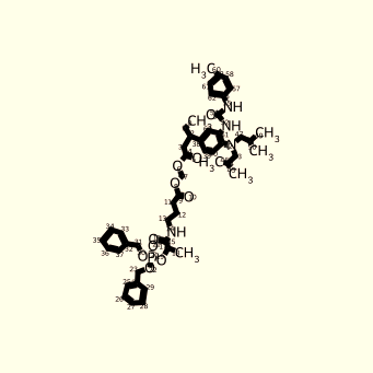 CCC(CC(=O)OCOC(=O)CCCNC(=O)C(C)OP(=O)(OCc1ccccc1)OCc1ccccc1)c1ccc(N(CC(C)C)CC(C)C)c(NC(=O)Nc2ccc(C)cc2)c1